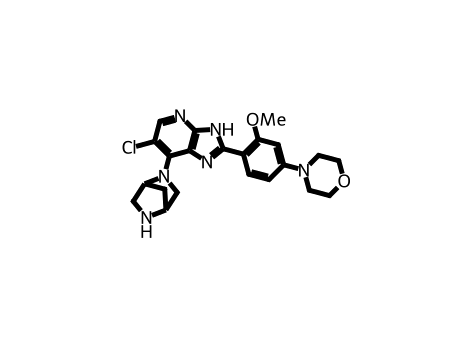 COc1cc(N2CCOCC2)ccc1-c1nc2c(N3CC4CC3CN4)c(Cl)cnc2[nH]1